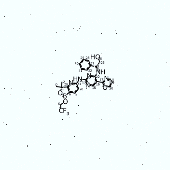 CC1(C)OB(OCC(F)(F)F)c2ccc(Nc3ncc(-c4nnco4)c(N[C@H](CO)c4ccccc4)n3)nc21